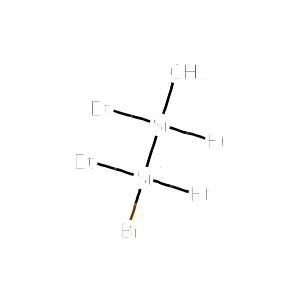 CC[Si](C)(CC)[Si](Br)(CC)CC